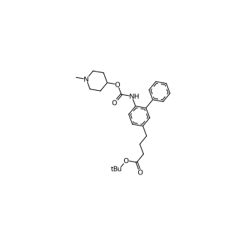 CN1CCC(OC(=O)Nc2ccc(CCCC(=O)OC(C)(C)C)cc2-c2ccccc2)CC1